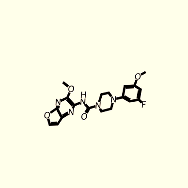 COc1cc(F)cc(N2CCN(C(=O)Nc3nc4ccoc4nc3OC)CC2)c1